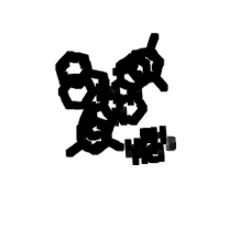 Cc1cc(C)c(N2CCN(c3c(C)cc(C)cc3C)[C]2=[Ru](=[CH]c2ccccc2)([CH]2CCCCC2)([CH]2CCCCC2)[CH]2CCCCC2)c(C)c1.Cl.Cl.P